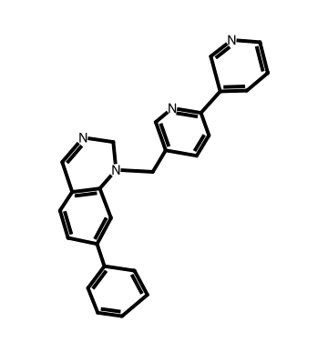 C1=NCN(Cc2ccc(-c3cccnc3)nc2)c2cc(-c3ccccc3)ccc21